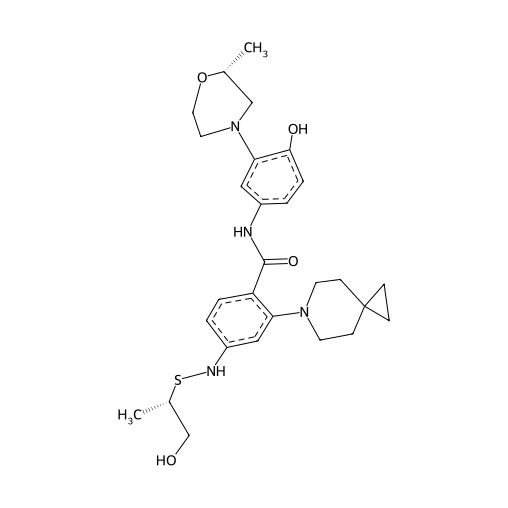 C[C@@H]1CN(c2cc(NC(=O)c3ccc(NS[C@@H](C)CO)cc3N3CCC4(CC3)CC4)ccc2O)CCO1